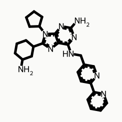 Nc1nc(NCc2ccc(-c3ccccn3)nc2)c2nc(C3CCCC(N)C3)n(C3CCCC3)c2n1